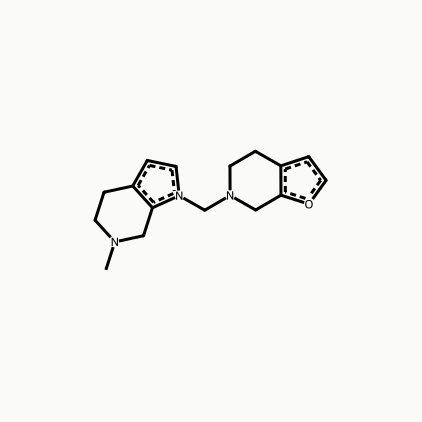 CN1CCc2ccn(CN3CCc4ccoc4C3)c2C1